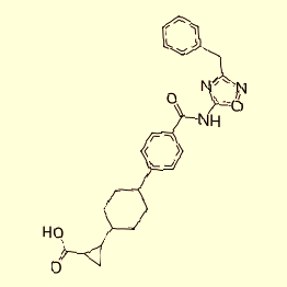 O=C(Nc1nc(Cc2ccccc2)no1)c1ccc(C2CCC(C3CC3C(=O)O)CC2)cc1